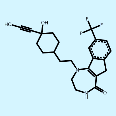 O=C1NCCN(CCC2CCC(O)(C#CO)CC2)C2=C1Cc1ccc(C(F)(F)F)cc12